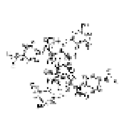 CN(C(=O)[C@H](Cc1cc(F)cc(F)c1)NC(=O)NS(=O)(=O)N[C@@H](Cc1cc(F)cc(F)c1)C(=O)N(C)c1ccc(C2CC2)nc1)c1ccc(C2CC2)nc1